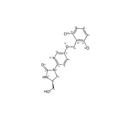 O=C1N[C@H](CO)CN1c1ccc(OCc2c(Cl)cccc2Cl)cn1